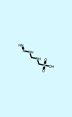 N=NNCNCS(=O)(=O)O